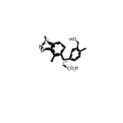 Cc1ccc([C@H](CC(=O)O)c2ccc3c(nnn3C)c2C)cc1CO